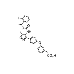 Cc1onc(-c2ccc(Oc3cccc(CC(=O)O)c3)cc2)c1NC(=O)OC(C)c1ccccc1F